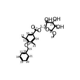 CO[C@@H]1O[C@H](COC(=O)c2cc(C)c(OCc3ccccc3)c(C)c2)[C@@H](O)[C@H](O)[C@H]1O